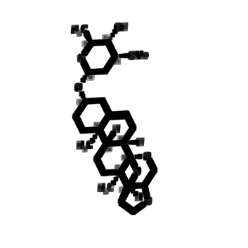 CO[C@@H]1C[C@H](O[C@H]2CC[C@@]3(C)C(=CC[C@@H]4[C@@H]3CC[C@]3(C)[C@H]5C6CO[C@@]43OC5CO6)C2)O[C@@H](C)[C@@H]1O